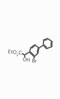 CCOC(=O)C(O)c1ccc(-c2ccccc2)cc1Br